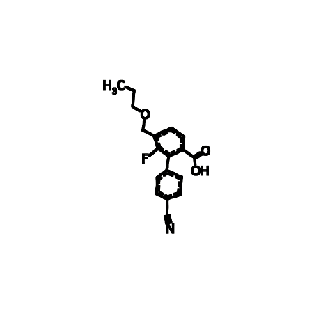 CCCOCc1ccc(C(=O)O)c(-c2ccc(C#N)cc2)c1F